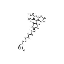 CCCCCCCCCCOc1ccc([C](c2ccccc2)c2ccccc2)cc1